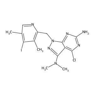 Cc1cnc(Cn2nc(N(C)C)c3c(Cl)nc(N)nc32)c(C)c1I